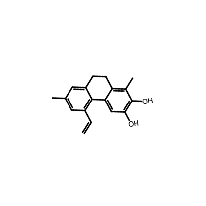 C=Cc1cc(C)cc2c1-c1cc(O)c(O)c(C)c1CC2